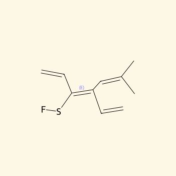 C=C/C(C=C(C)C)=C(/C=C)SF